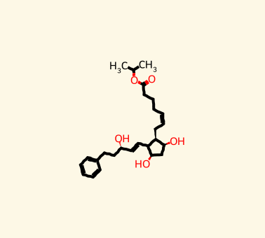 CC(C)OC(=O)CCC/C=C\C[C@@H]1C(/C=C/[C@@H](O)CCc2ccccc2)[C@H](O)C[C@@H]1O